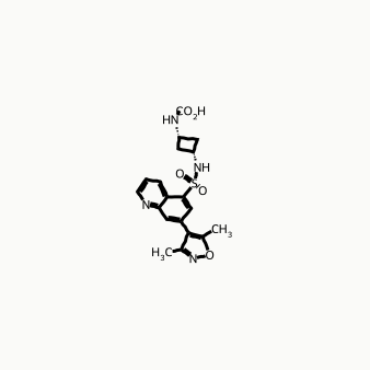 Cc1noc(C)c1-c1cc(S(=O)(=O)N[C@H]2C[C@@H](NC(=O)O)C2)c2cccnc2c1